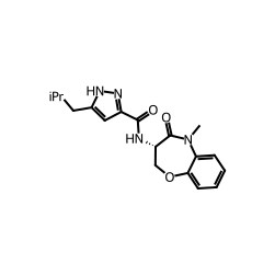 CC(C)Cc1cc(C(=O)N[C@H]2COc3ccccc3N(C)C2=O)n[nH]1